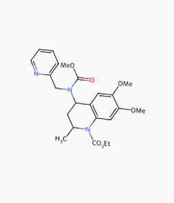 CCOC(=O)N1c2cc(OC)c(OC)cc2C(N(Cc2ccccn2)C(=O)OC)CC1C